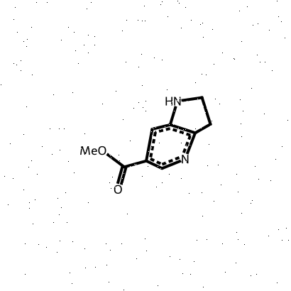 COC(=O)c1cnc2c(c1)NCC2